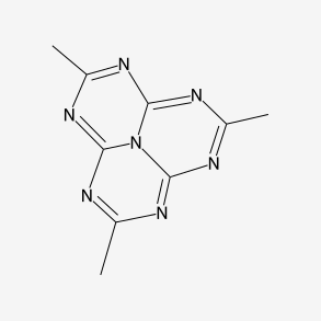 CC1=NC2=NC(C)=NC3=NC(C)=NC(=N1)N23